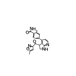 Cc1cc(C(=O)C2CNc3nccc(-c4ccc(C(N)=O)cc4)c32)no1